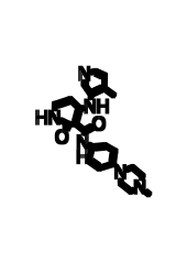 Cc1ccncc1Nc1cc[nH]c(=O)c1C(=O)Nc1ccc(N2CCN(C)CC2)cc1